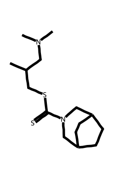 CC(CSC(=S)N1CC2CCC(CC2)C1)CN(C)C